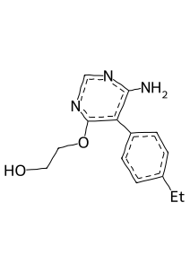 CCc1ccc(-c2c(N)ncnc2OCCO)cc1